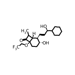 CC1C(=O)[C@@]2(OCC(F)(F)F)CC[C@@H](O)[C@H](/C=C/[C@@H](O)C3CCCCC3)[C@@H]12